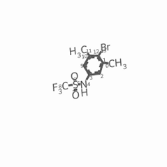 Cc1cc(NS(=O)(=O)C(F)(F)F)cc(C)c1Br